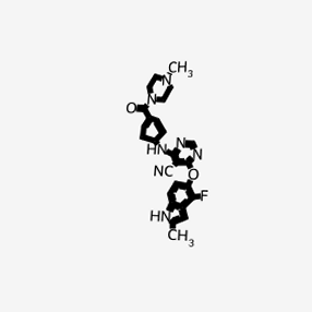 Cc1cc2c(F)c(Oc3ncnc(NC4C=CC(C(=O)N5CCN(C)CC5)=CC4)c3C#N)ccc2[nH]1